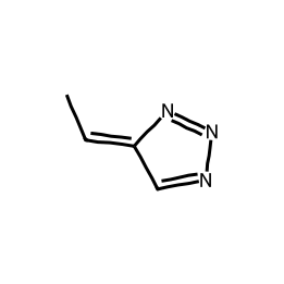 CC=C1C=NN=N1